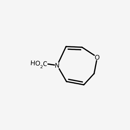 O=C(O)N1C=CCOC=C1